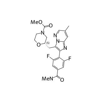 CNC(=O)c1cc(F)c(-c2nc3cc(C)cnn3c2C[C@H]2CN(C(=O)OC)CCO2)c(F)c1